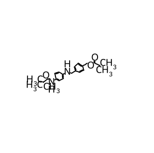 CC(C)C(=O)OCc1ccc(CNc2ccc(NC(=O)C(C)(C)C)cc2)cc1